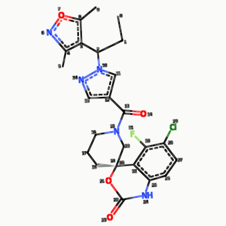 CCC(c1c(C)noc1C)n1cc(C(=O)N2CCC[C@@]3(C2)OC(=O)Nc2ccc(Cl)c(F)c23)cn1